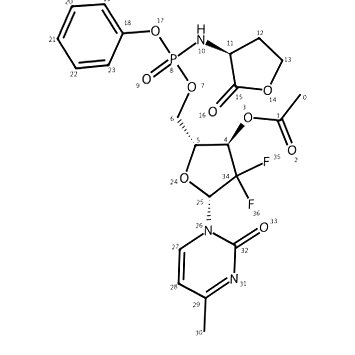 CC(=O)O[C@@H]1[C@@H](COP(=O)(N[C@H]2CCOC2=O)Oc2ccccc2)O[C@@H](n2ccc(C)nc2=O)C1(F)F